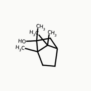 CC1(O)CC2CCC1(C)C2(C)C